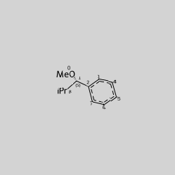 CO[C@H](c1ccccc1)C(C)C